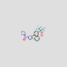 C[C@]1(c2ccccc2)CN(C(=O)N2CCCC2)C[C@H]1c1ccc(C(O)(C(F)(F)F)C(F)(F)F)cc1